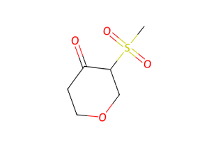 CS(=O)(=O)C1COCCC1=O